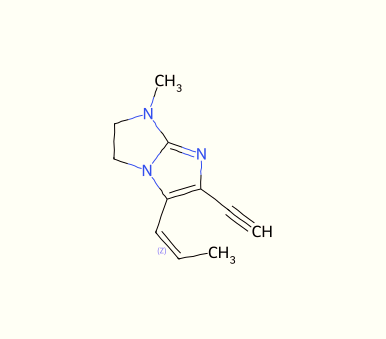 C#Cc1nc2n(c1/C=C\C)CCN2C